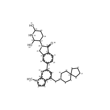 Cn1ccc2c(CN3CCC4(CCCC4)CC3)cc(-c3ccc4c(c3)CN(C3CCC(O)NC3O)C4=O)nc21